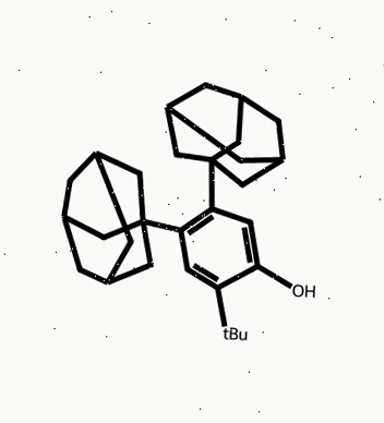 CC(C)(C)c1cc(C23CC4CC(CC(C4)C2)C3)c(C23CC4CC(CC(C4)C2)C3)cc1O